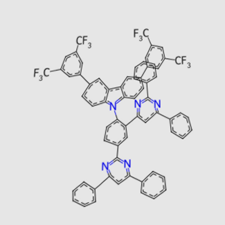 FC(F)(F)c1cc(-c2ccc3c(c2)c2cc(-c4cc(C(F)(F)F)cc(C(F)(F)F)c4)ccc2n3-c2ccc(-c3nc(-c4ccccc4)cc(-c4ccccc4)n3)cc2-c2cc(-c3ccccc3)nc(-c3ccccc3)n2)cc(C(F)(F)F)c1